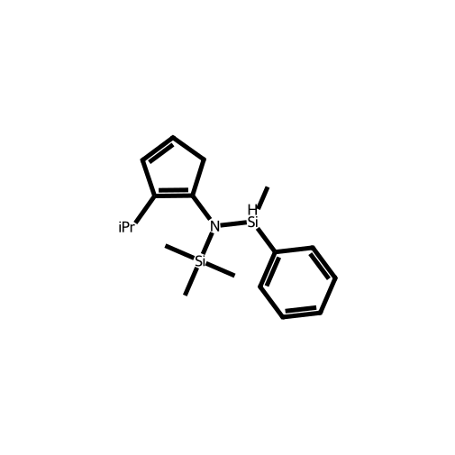 CC(C)C1=C(N([SiH](C)c2ccccc2)[Si](C)(C)C)CC=C1